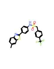 Cc1ccc2nc(-c3ccc(NS(=O)(=O)Cc4ccc(C(F)(F)F)cc4)cc3)sc2c1